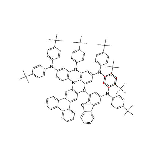 CC(C)(C)c1ccc(N(c2ccc(C(C)(C)C)cc2)c2ccc3c(c2)N(c2ccc(C(C)(C)C)cc2)c2cc(N(c4ccc(C(C)(C)C)cc4)c4ccc(C(C)(C)C)cc4)cc4c2B3c2cc3c5ccccc5c5ccccc5c3cc2N4c2cc(N(c3ccc(C(C)(C)C)cc3)c3ccc(C(C)(C)C)cc3)cc3c2oc2ccccc23)cc1